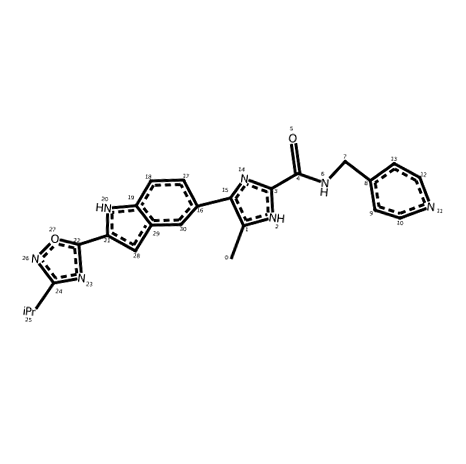 Cc1[nH]c(C(=O)NCc2ccncc2)nc1-c1ccc2[nH]c(-c3nc(C(C)C)no3)cc2c1